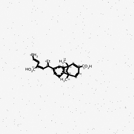 B/C=C/C(=C\C(CC)c1ccc2c(c1)C1(C)C=C(C(=O)O)C=CC2(C)C1)C(=O)O